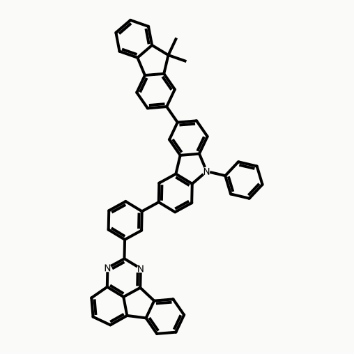 CC1(C)c2ccccc2-c2ccc(-c3ccc4c(c3)c3cc(-c5cccc(-c6nc7c8c(cccc8n6)-c6ccccc6-7)c5)ccc3n4-c3ccccc3)cc21